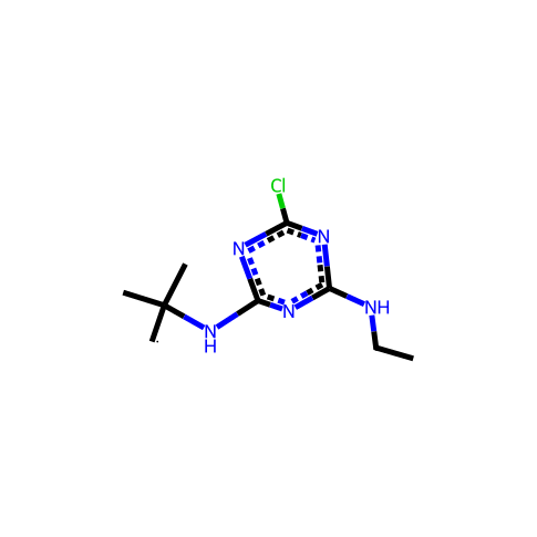 [CH2]C(C)(C)Nc1nc(Cl)nc(NCC)n1